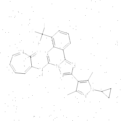 Cc1nn(C2CC2)c(C)c1-c1nc2c3cccc(C(F)(F)F)c3nc(Nc3ccccnc3=O)n2n1